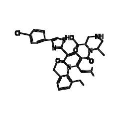 CCc1cccc(CC)c1-n1c(C=C(C)C)c(C(=O)N2C(C)CNCC2C(=O)O)cc(-c2nc(-c3ccc(Cl)cc3)cs2)c1=O